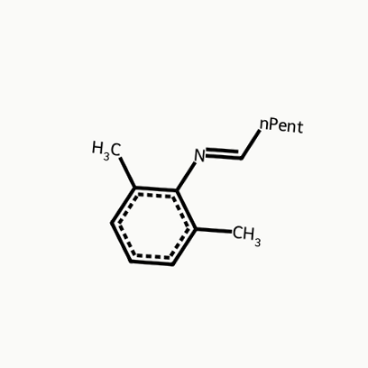 CCCCCC=Nc1c(C)cccc1C